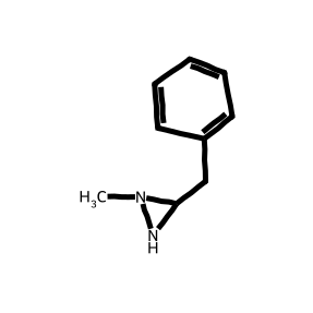 CN1NC1Cc1ccccc1